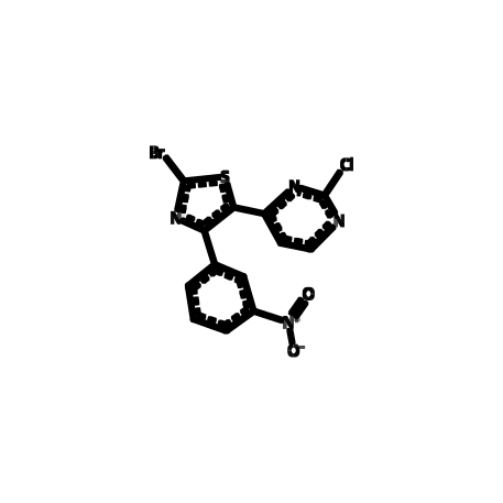 O=[N+]([O-])c1cccc(-c2nc(Br)sc2-c2ccnc(Cl)n2)c1